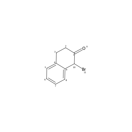 O=C1CCc2ccccc2C1Br